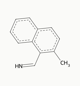 Cc1ccc2ccccc2c1C=N